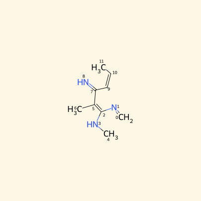 C=N/C(NC)=C(/C)C(=N)/C=C\C